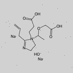 C=CCC1=NCC[N+]1(CCC(=O)O)C(C)OCC(=O)O.[Na].[Na].[OH-]